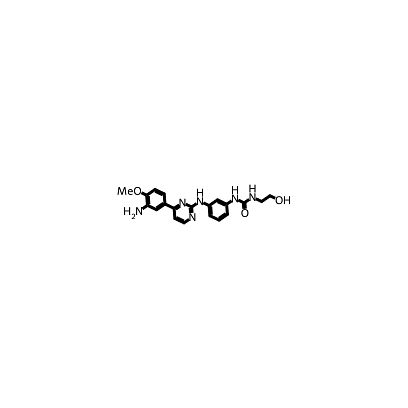 COc1ccc(-c2ccnc(Nc3cccc(NC(=O)NCCO)c3)n2)cc1N